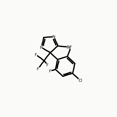 Fc1cc(Cl)cc(F)c1C1(C(F)(F)F)N=CN=C1Br